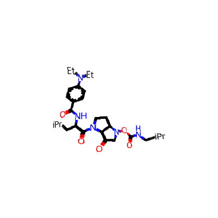 CCN(CC)c1ccc(C(=O)NC(CC(C)C)C(=O)N2CCC3C2C(=O)CN3OC(=O)NCC(C)C)cc1